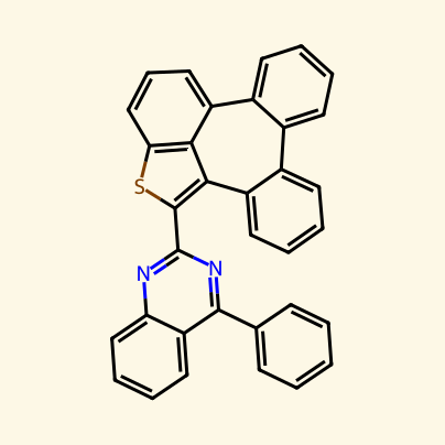 c1ccc(-c2nc(-c3sc4cccc5c4c3-c3ccccc3-c3ccccc3-5)nc3ccccc23)cc1